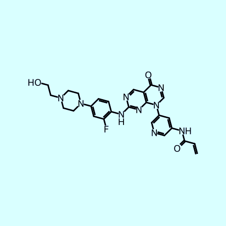 C=CC(=O)Nc1cncc(-n2cnc(=O)c3cnc(Nc4ccc(N5CCN(CCO)CC5)cc4F)nc32)c1